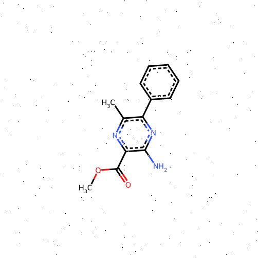 COC(=O)c1nc(C)c(-c2ccccc2)nc1N